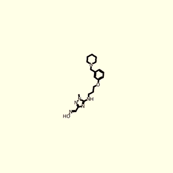 Cn1nc(C=NO)nc1NCCCOc1cccc(CN2CCCCC2)c1